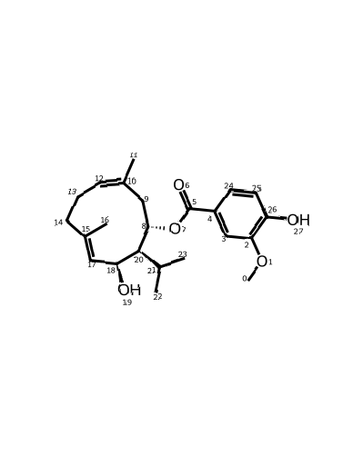 COc1cc(C(=O)O[C@H]2C/C(C)=C\CC/C(C)=C/[C@H](O)[C@@H]2C(C)C)ccc1O